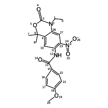 CCN1C(=O)OC(C)(C)c2cc(NC(=O)c3ccc(OC)cc3)c([N+](=O)[O-])cc21